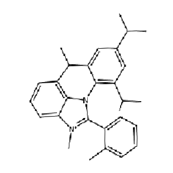 Cc1ccccc1-c1n2c3c(cccc3[n+]1C)C(C)c1cc(C(C)C)cc(C(C)C)c1-2